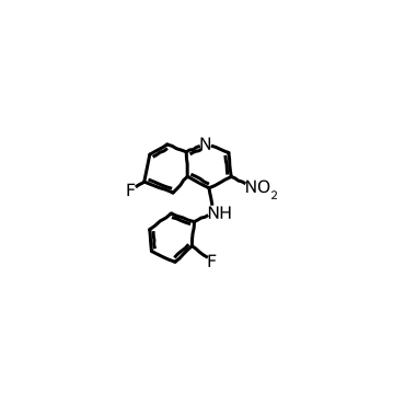 O=[N+]([O-])c1cnc2ccc(F)cc2c1Nc1ccccc1F